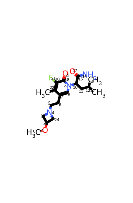 COC1CN(CCc2cn(C(CC(C)C)C(N)=O)c(=O)c(F)c2C)C1